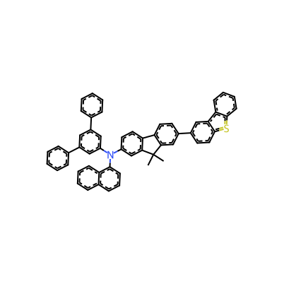 CC1(C)c2cc(-c3ccc4sc5ccccc5c4c3)ccc2-c2ccc(N(c3cc(-c4ccccc4)cc(-c4ccccc4)c3)c3cccc4ccccc34)cc21